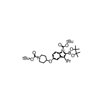 CC(C)c1c(B2OC(C)(C)C(C)(C)O2)n(C(=O)OC(C)(C)C)c2ccc(OC3CCN(C(=O)OC(C)(C)C)CC3)cc12